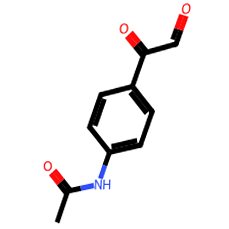 CC(=O)Nc1ccc(C(=O)C=O)cc1